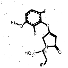 CCOc1ccc(F)c(OC2=CC(=O)N([C@@H](CC(C)C)C(=O)O)C2)c1F